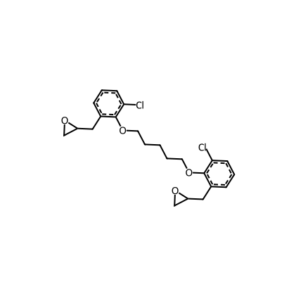 Clc1cccc(CC2CO2)c1OCCCCCOc1c(Cl)cccc1CC1CO1